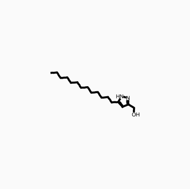 CCCCCCCCCCCCCc1cc(CO)n[nH]1